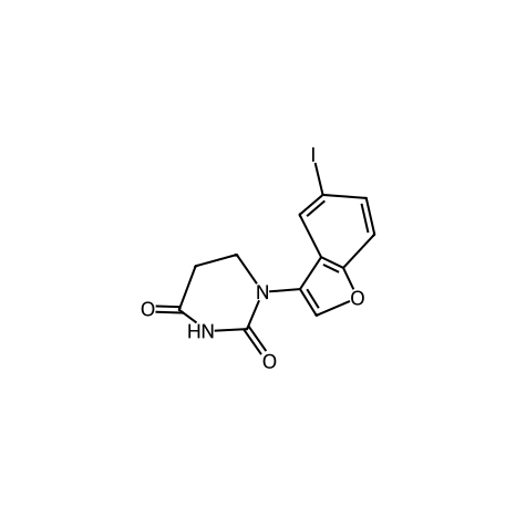 O=C1CCN(c2coc3ccc(I)cc23)C(=O)N1